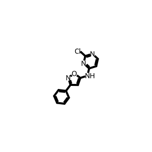 Clc1nccc(Nc2cc(-c3ccccc3)no2)n1